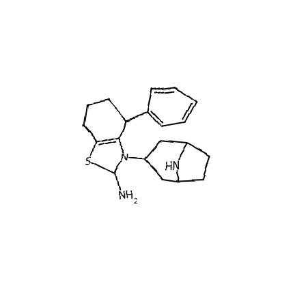 NC1SC2=C(C(c3ccccc3)CCC2)N1C1CC2CCC(C1)N2